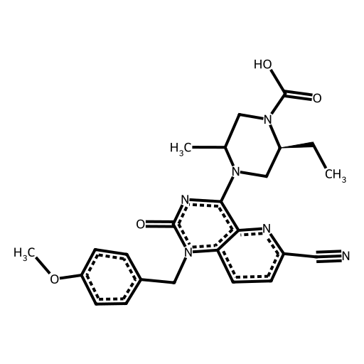 CC[C@H]1CN(c2nc(=O)n(Cc3ccc(OC)cc3)c3ccc(C#N)nc23)C(C)CN1C(=O)O